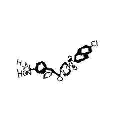 NC(=NO)c1ccc2cc(C(=O)N3CCN(S(=O)(=O)c4ccc5cc(Cl)ccc5c4)CC3)oc2c1